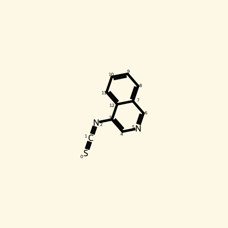 S=C=Nc1cncc2ccccc12